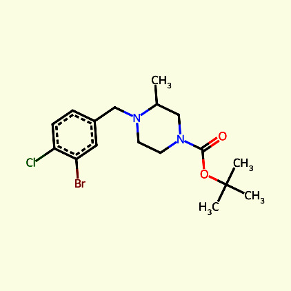 CC1CN(C(=O)OC(C)(C)C)CCN1Cc1ccc(Cl)c(Br)c1